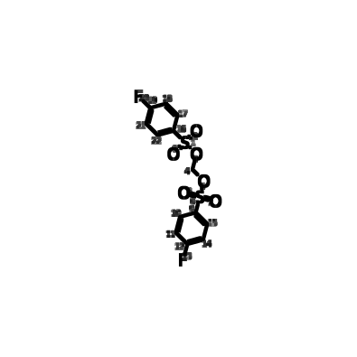 O=S(=O)(OCOS(=O)(=O)c1ccc(F)cc1)c1ccc(F)cc1